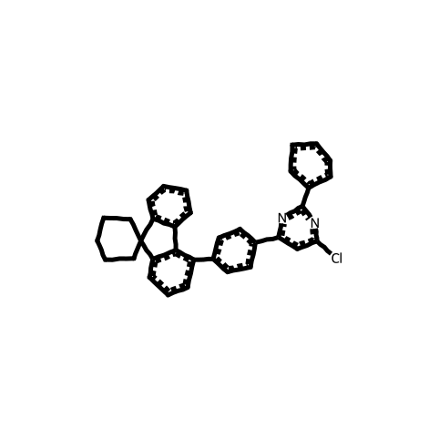 Clc1cc(-c2ccc(-c3cccc4c3-c3ccccc3C43CCCCC3)cc2)nc(-c2ccccc2)n1